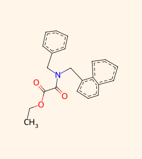 CCOC(=O)C(=O)N(Cc1ccccc1)Cc1cccc2ccccc12